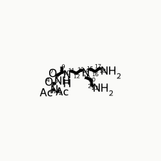 CC(=O)N(C(C)=O)C(=O)NC(=O)C(C)NCCCN(CCCN)CCCN